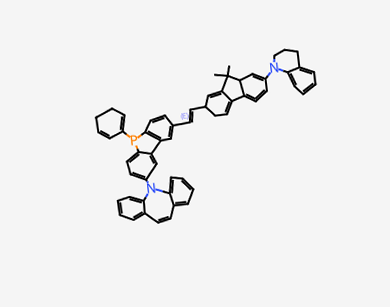 CC1(C)C2=CC(/C=C/c3ccc4c(c3)c3cc(N5c6ccccc6C=Cc6ccccc65)ccc3p4C3=CCCC=C3)CC=C2C2=C=CC(N3CCCc4ccccc43)=CC21